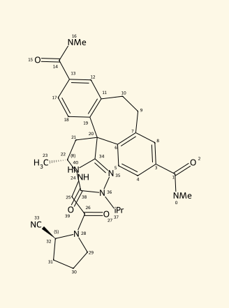 CNC(=O)c1ccc2c(c1)CCc1cc(C(=O)NC)ccc1C2(C[C@@H](C)NCC(=O)N1CCC[C@H]1C#N)c1nn(C(C)C)c(=O)[nH]1